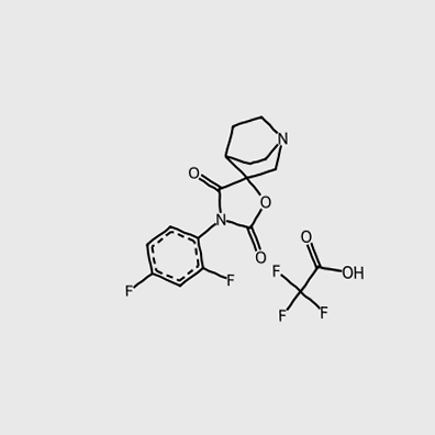 O=C(O)C(F)(F)F.O=C1OC2(CN3CCC2CC3)C(=O)N1c1ccc(F)cc1F